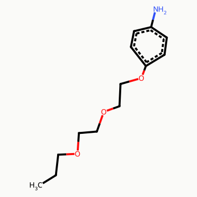 CCCOCCOCCOc1ccc(N)cc1